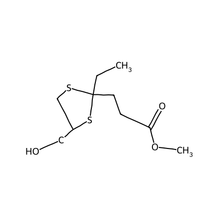 CCC1(CCC(=O)OC)SCC(CO)S1